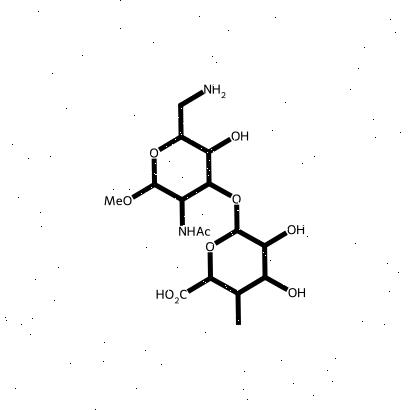 COC1OC(CN)C(O)C(OC2OC(C(=O)O)C(C)C(O)C2O)C1NC(C)=O